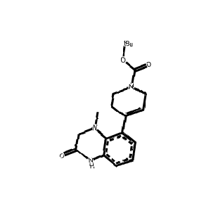 CN1CC(=O)Nc2cccc(C3=CCN(C(=O)OC(C)(C)C)CC3)c21